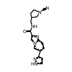 N#CN1CCC(CNC(=O)c2cn3cc(-c4cc[nH]n4)ccc3n2)C1